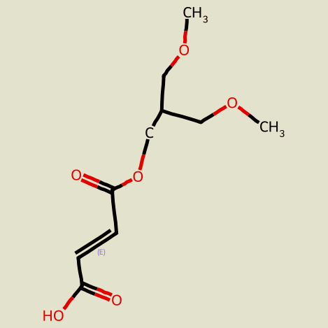 COCC(COC)COC(=O)/C=C/C(=O)O